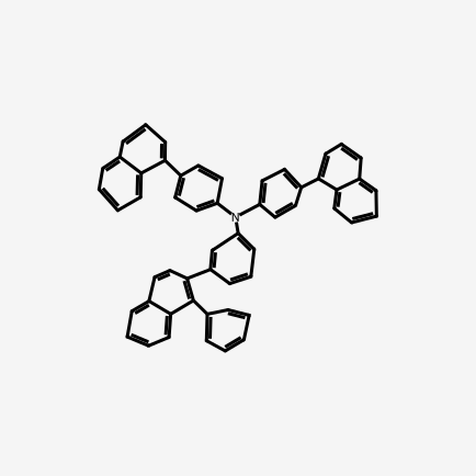 c1ccc(-c2c(-c3cccc(N(c4ccc(-c5cccc6ccccc56)cc4)c4ccc(-c5cccc6ccccc56)cc4)c3)ccc3ccccc23)cc1